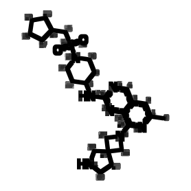 Cc1cc2cnc(NC3CCN(S(=O)(=O)CC4CCCC4)CC3)nc2c(N2CC3(CCNC3)C2)n1